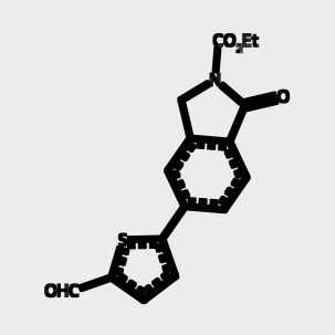 CCOC(=O)N1Cc2cc(-c3ccc(C=O)s3)ccc2C1=O